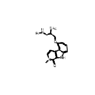 CC(=O)OC(CNC(C)C)COc1cccc2[nH]c3c(=O)n(C)ccc3c12